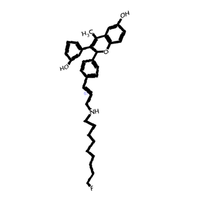 CC1=C(c2cccc(O)c2)C(c2ccc(/C=C/CNCCCCCCCCCF)cc2)Oc2ccc(O)cc21